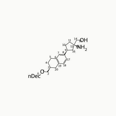 CCCCCCCCCCOC[C@H]1CCc2cc([C@H]3CC[C@](N)(CO)C3)ccc2C1